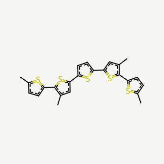 Cc1ccc(-c2sc(-c3ccc(-c4cc(C)c(-c5ccc(C)s5)s4)s3)cc2C)s1